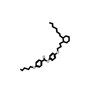 CCCCCCCC1CCCCC1CCCOc1ccc(OC(=O)c2ccc(OCCCCC)cc2)cc1